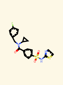 O=C(c1ccc(S(=O)(=O)Nc2nccs2)cc1)N(Cc1ccc(F)cc1)C1CC1